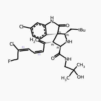 C=C(/C=C\C=C(\Cl)CF)[C@H]1[C@H](C(=O)NCC(C)(C)O)N[C@H](CC(C)(C)C)[C@]12C(=O)Nc1cc(Cl)ccc12